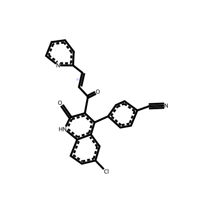 N#Cc1ccc(-c2c(C(=O)/C=C/c3ccccn3)c(=O)[nH]c3ccc(Cl)cc23)cc1